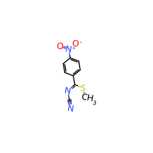 CSC(=NC#N)c1ccc([N+](=O)[O-])cc1